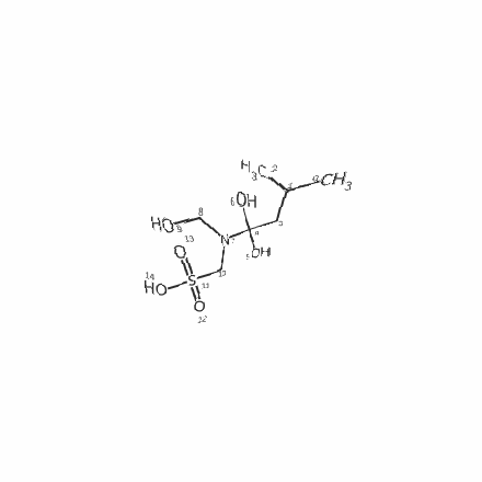 CC(C)CC(O)(O)N(CO)CS(=O)(=O)O